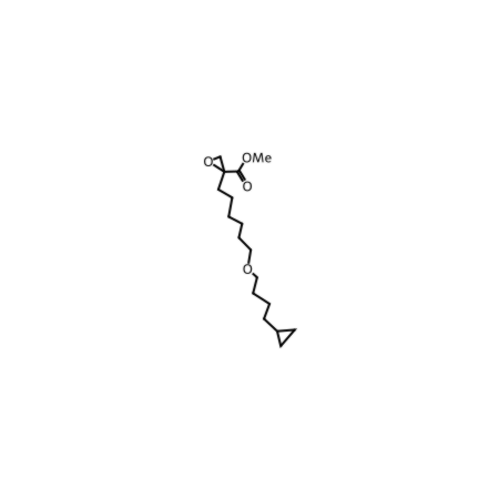 COC(=O)C1(CCCCCCOCCCCC2CC2)CO1